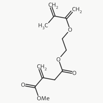 C=C(C)C(=C)OCCOC(=O)CC(=C)C(=O)OC